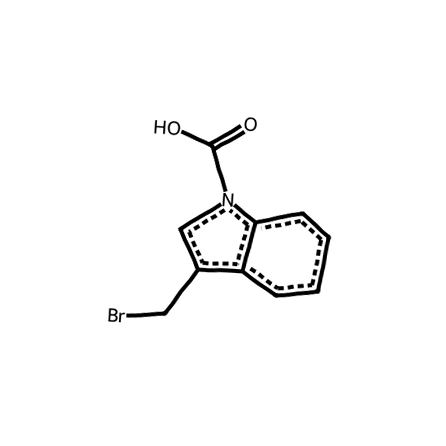 O=C(O)n1cc(CBr)c2ccccc21